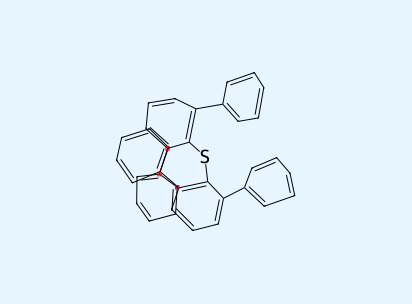 c1ccc(-c2cccc(-c3ccccc3)c2Sc2c(-c3ccccc3)cccc2-c2ccccc2)cc1